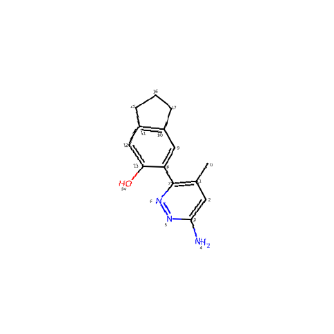 Cc1cc(N)nnc1-c1cc2c(cc1O)CCC2